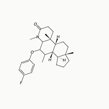 CC1C(Oc2ccc(F)cc2)C2N(C)C(=O)CC[C@]2(C)[C@@H]2CC[C@]3(C)CCC[C@H]3[C@H]12